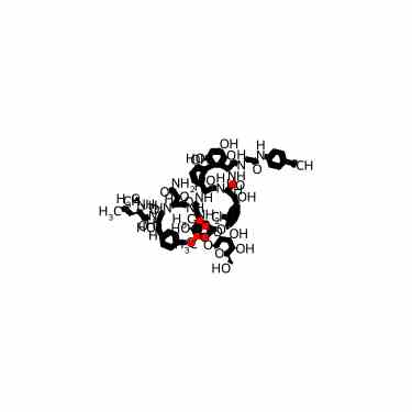 C#Cc1ccc(NC(=O)CNC(=O)C2NC(=O)[C@H]3NC(=O)[C@H](NC(=O)C4NC(=O)[C@H](CC(N)=O)NC(=O)[C@H](NC(=O)[C@@H](CC(C)C)NC)[C@H](O)c5ccc(cc5)Oc5cc4cc(c5O[C@@H]4O[C@H](CO)[C@@H](O)[C@H](O)[C@H]4OC4C[C@](C)(N)[C@H](O)[C@H](C)O4)Oc4ccc(cc4Cl)[C@H]3O)c3ccc(O)c(c3)-c3c(O)cc(O)cc32)cc1